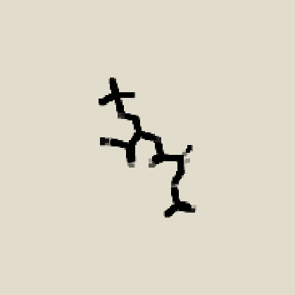 CC(=O)SC[C@@H](C)C(=O)OC(COC(C)(C)C)C(=O)O